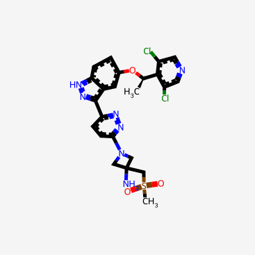 C[C@@H](Oc1ccc2[nH]nc(-c3ccc(N4CC(N)(CS(C)(=O)=O)C4)nn3)c2c1)c1c(Cl)cncc1Cl